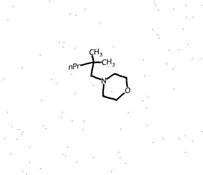 CCCC(C)(C)CN1CCOCC1